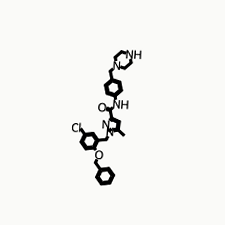 Cc1cc(C(=O)Nc2ccc(CN3CCNCC3)cc2)nn1Cc1cc(Cl)ccc1OCc1ccccc1